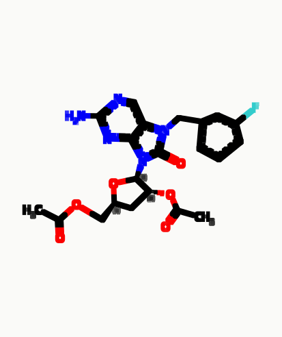 CC(=O)OC[C@@H]1C[C@@H](OC(C)=O)[C@H](n2c(=O)n(Cc3cccc(F)c3)c3cnc(N)nc32)O1